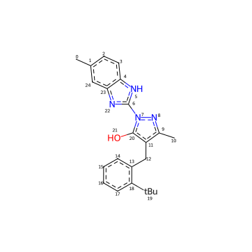 Cc1ccc2[nH]c(-n3nc(C)c(Cc4ccccc4C(C)(C)C)c3O)nc2c1